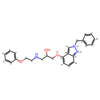 OC(CNCCOc1ccccc1)COc1cccc2nn(Cc3ccccc3)cc12